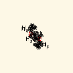 CC1(C)c2cc3c(cc2-c2c1cc(-c1ccc4c(c1)-c1c(c5ccccc5c5ccccc15)C4(C)C)c1oc4ccccc4c21)C(C)(C)c1cc(-c2ccc4c(c2)-c2c(c5ccccc5c5ccccc25)C4(C)C)c2oc4ccccc4c2c1-3